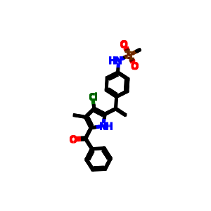 Cc1c(C(=O)c2ccccc2)[nH]c(C(C)c2ccc(NS(C)(=O)=O)cc2)c1Cl